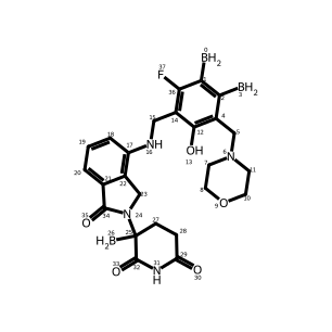 Bc1c(B)c(CN2CCOCC2)c(O)c(CNc2cccc3c2CN(C2(B)CCC(=O)NC2=O)C3=O)c1F